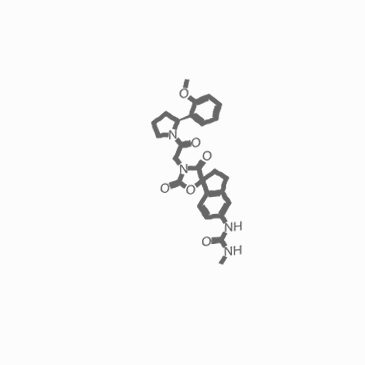 CNC(=O)Nc1ccc2c(c1)CCC21OC(=O)N(CC(=O)N2CCC[C@H]2c2ccccc2OC)C1=O